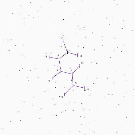 II(I)I(I)I(I)I(I)I(I)I